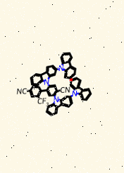 N#Cc1ccc(-c2cc(-n3c4ccccc4c4ccc(-n5c6ccccc6c6ccccc65)cc43)c(C#N)cc2-n2c3ccccc3c3ccc(-n4c5ccccc5c5ccccc54)cc32)c(C(F)(F)F)c1